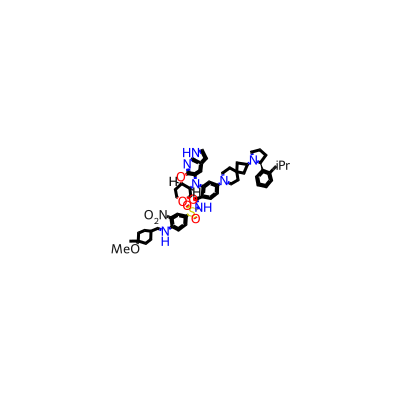 COC1(C)CCC(CNc2ccc(S(=O)(=O)NC(=O)c3ccc(N4CCC5(CC4)CC(N4CCC[C@H]4c4ccccc4C(C)C)C5)cc3N3c4cc5cc[nH]c5nc4O[C@@H]4CCOC[C@@H]43)cc2[N+](=O)[O-])CC1